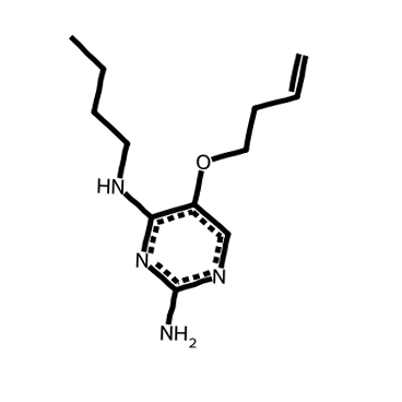 C=CCCOc1cnc(N)nc1NCCCC